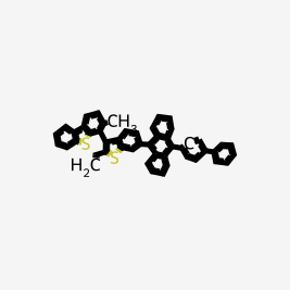 C=Cc1sc2cc(-c3c4ccccc4c(-c4ccc(-c5ccccc5)cc4)c4ccccc34)ccc2c1-c1c(C)ccc2c1sc1ccccc12